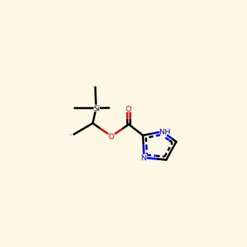 [CH2]C(OC(=O)c1ncc[nH]1)[Si](C)(C)C